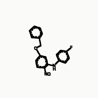 O=Nc1ccc(OCc2ccccc2)cc1Nc1ccc(F)cc1